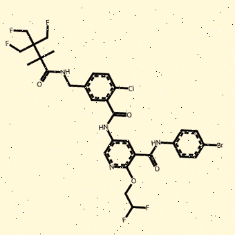 CC(C)(C(=O)NCc1ccc(Cl)c(C(=O)Nc2cnc(OCC(F)F)c(C(=O)Nc3ccc(Br)cc3)c2)c1)C(CF)(CF)CF